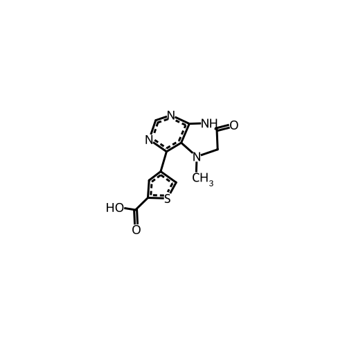 CN1CC(=O)Nc2ncnc(-c3csc(C(=O)O)c3)c21